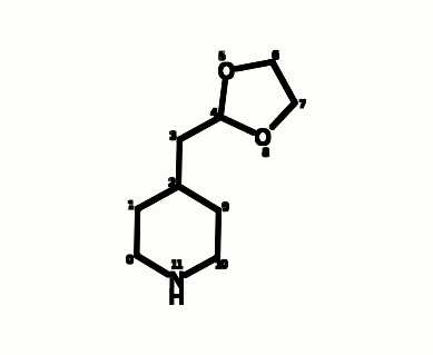 C1CC(CC2OCCO2)CCN1